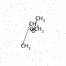 CCCCCCCCCCCCC(CCCC)COC(=O)C(C)CCCCCCC